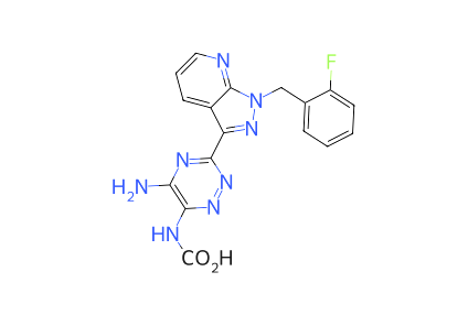 Nc1nc(-c2nn(Cc3ccccc3F)c3ncccc23)nnc1NC(=O)O